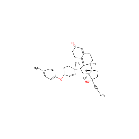 CC#C[C@]1(O)CC[C@H]2[C@@H]3CCC4=CC(=O)CCC4=C3[C@@H](C3(C)C=CC(Oc4ccc(C)cc4)=CC3)C[C@@]21C